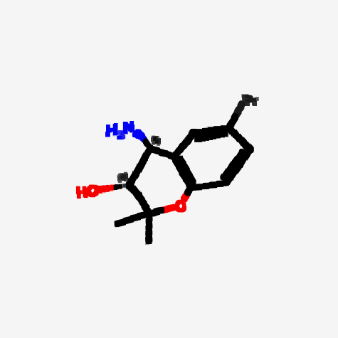 CC(C)c1ccc2c(c1)[C@H](N)[C@@H](O)C(C)(C)O2